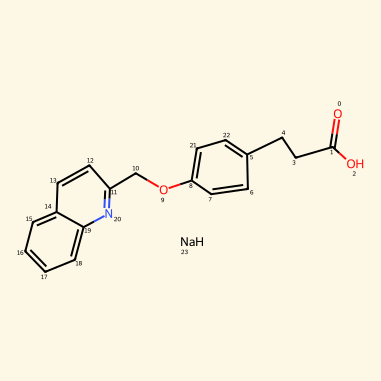 O=C(O)CCc1ccc(OCc2ccc3ccccc3n2)cc1.[NaH]